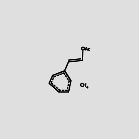 C.CC(=O)OC=Cc1ccccc1